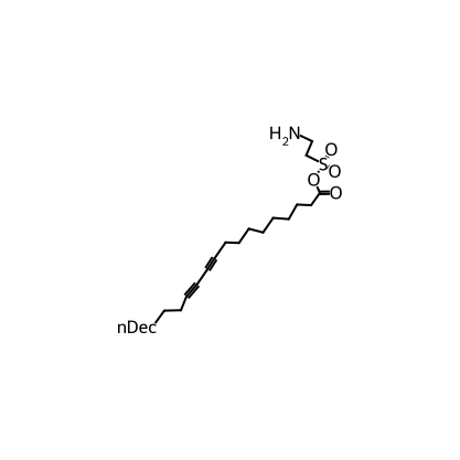 CCCCCCCCCCCCC#CC#CCCCCCCCCC(=O)OS(=O)(=O)CCN